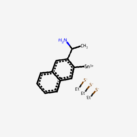 CC(N)c1cc2ccccc2c[c]1[Sn+3].CC[S-].CC[S-].CC[S-]